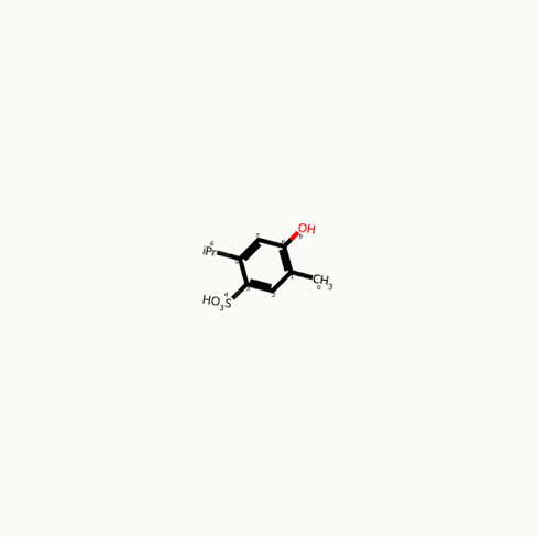 Cc1cc(S(=O)(=O)O)c(C(C)C)cc1O